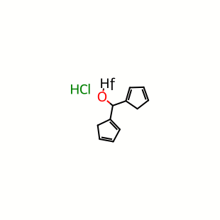 Cl.[Hf][O]C(C1=CC=CC1)C1=CC=CC1